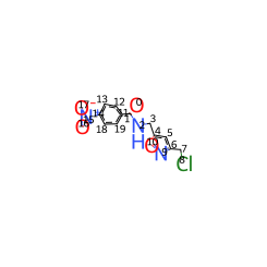 O=C(NCc1cc(CCl)no1)c1ccc([N+](=O)[O-])cc1